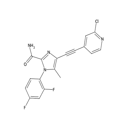 Cc1c(C#Cc2ccnc(Cl)c2)nc(C(N)=O)n1-c1ccc(F)cc1F